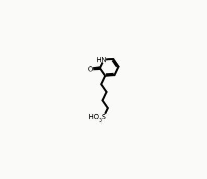 O=c1[nH]cccc1CCCCS(=O)(=O)O